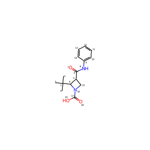 CC(C)(C)C1C(C(=O)Nc2ccccc2)CN1C(=O)O